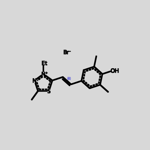 CC[n+]1nc(C)sc1/C=C/c1cc(C)c(O)c(C)c1.[Br-]